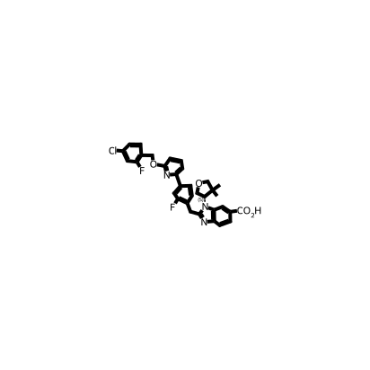 CC1(C)COC[C@H]1n1c(Cc2ccc(-c3cccc(OCc4ccc(Cl)cc4F)n3)cc2F)nc2ccc(C(=O)O)cc21